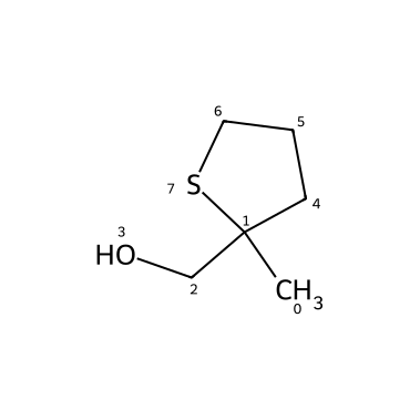 CC1(CO)CCCS1